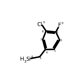 Fc1ccc(C[SiH3])cc1Cl